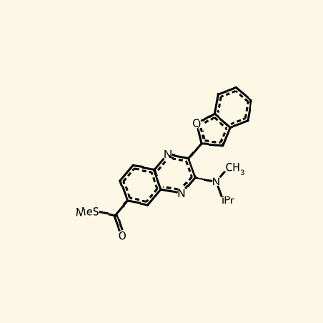 CSC(=O)c1ccc2nc(-c3cc4ccccc4o3)c(N(C)C(C)C)nc2c1